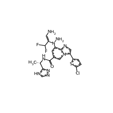 C[C@H](NC(=O)c1cc(N(N)/C(=C\N)C(F)F)c2ncc(-c3ccc(Cl)s3)n2c1)c1nnc[nH]1